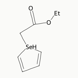 CCOC(=O)C[SeH]1C=CC=C1